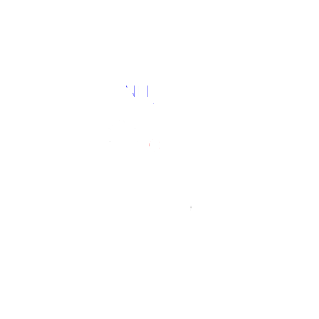 CCC=CCCCOc1cccc(CN)c1